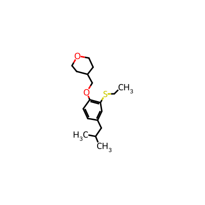 CCSc1cc(CC(C)C)ccc1OCC1CCOCC1